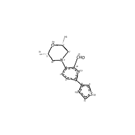 C[C@@H]1CN(c2ccc(-c3cscn3)nc2C=O)C[C@H](C)O1